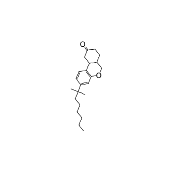 CCCCCCC(C)(C)c1ccc2c(c1)OCC1CCC(=O)CC21